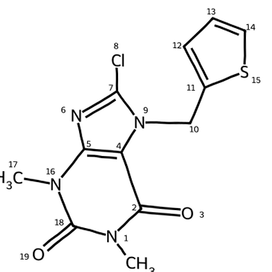 Cn1c(=O)c2c(nc(Cl)n2Cc2cccs2)n(C)c1=O